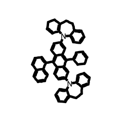 C1=CCCC(c2c3cc(N4C5=C(CCC=C5)CCc5ccccc54)ccc3c(-c3cccc4ccccc34)c3ccc(N4c5ccccc5CCc5ccccc54)cc23)=C1